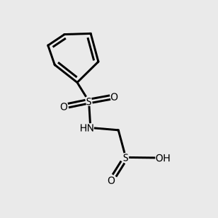 O=S(O)CNS(=O)(=O)c1ccccc1